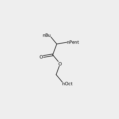 CCCCCCCCCOC(=O)C(CCCC)CCCCC